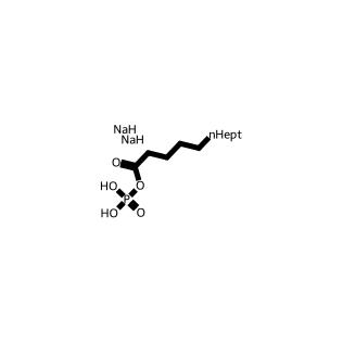 CCCCCCCCCCCC(=O)OP(=O)(O)O.[NaH].[NaH]